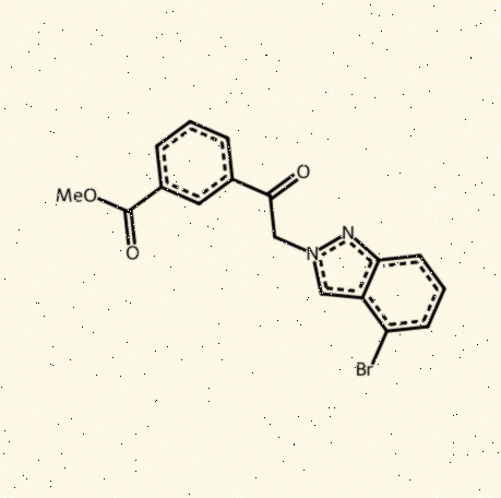 COC(=O)c1cccc(C(=O)Cn2cc3c(Br)cccc3n2)c1